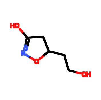 OCCC1CC(O)=NO1